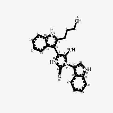 N#Cc1c(-c2c(CCCO)[nH]c3ccccc23)[nH]c(=O)n1-c1c[nH]c2ccccc12